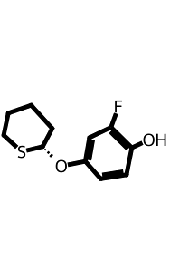 Oc1ccc(O[C@H]2CCCCS2)cc1F